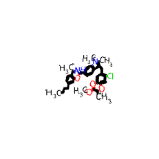 CCCCc1ccc([C@H](C)NC(=O)c2ccc3c(Cc4ccc(O[C@H](C)C(=O)OC)cc4Cl)c(C)n(C)c3c2)cc1